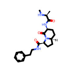 CN[C@@H](C)C(=O)N[C@H]1CC[C@H]2CC[C@@H](C(=O)NCCc3ccccc3)N2C1=O